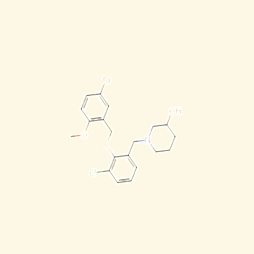 COc1ccc(Br)cc1CSc1c(Cl)cccc1CN1CCCC(O)C1